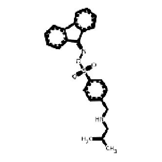 C=C(C)CNCc1ccc(S(=O)(=O)ON=C2c3ccccc3-c3ccccc32)cc1